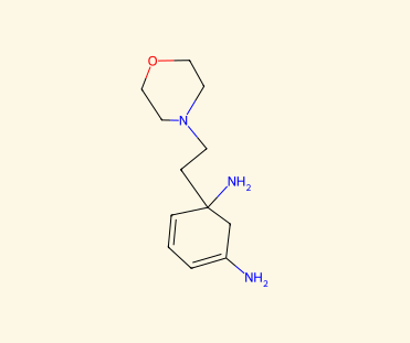 NC1=CC=CC(N)(CCN2CCOCC2)C1